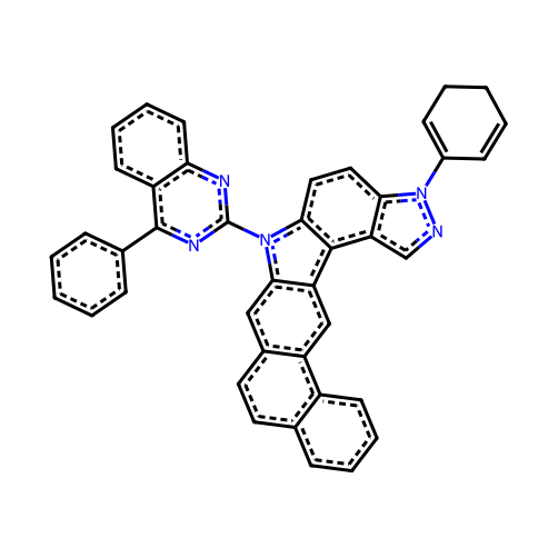 C1=CC(n2ncc3c4c5cc6c(ccc7ccccc76)cc5n(-c5nc(-c6ccccc6)c6ccccc6n5)c4ccc32)=CCC1